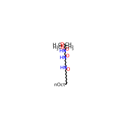 CCCCCCCC/C=C\CCCCCCCC(=O)NCCCCCNC(=O)CCNC(=O)C1OC(C)(C)OCC1(C)C